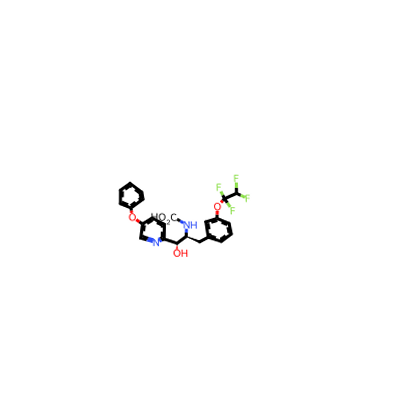 O=C(O)N[C@@H](Cc1cccc(OC(F)(F)C(F)F)c1)[C@H](O)c1ccc(Oc2ccccc2)cn1